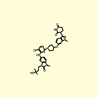 Cn1nc(C2CCC(=O)NC2=O)c2ccc(OC3CCN(c4ncc(Cl)c(Nc5ccc6c(c5)n(CCC(C)(C)O)c(=O)n6C)n4)CC3)cc21